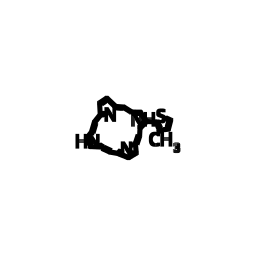 Cc1ccsc1-c1cc2cc3nc(cc4ccc(cc5nc(cc1[nH]2)C=C5)[nH]4)C=C3